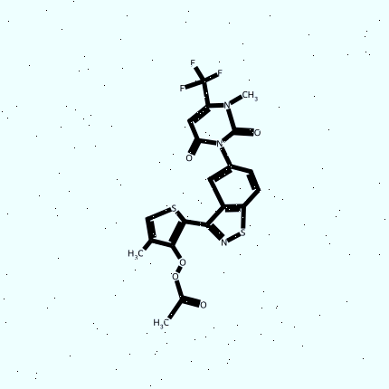 CC(=O)OOc1c(C)csc1-c1nsc2ccc(-n3c(=O)cc(C(F)(F)F)n(C)c3=O)cc12